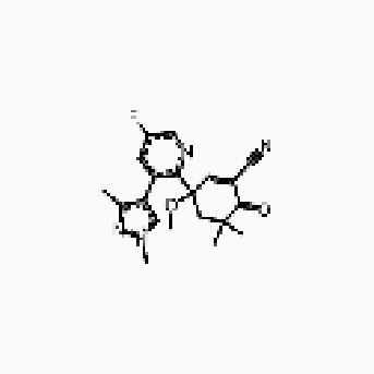 COC1(c2ncc(F)cc2-c2cn(C)nc2C)C=C(C#N)C(=O)C(C)(C)C1